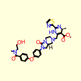 COC(=O)C1=C(CN2CCN3C(=O)N(c4ccc(Oc5ccc(C(=O)N(C)CCO)cc5)cc4)C[C@@H]3C2)NC(c2nccs2)=N[C@H]1C